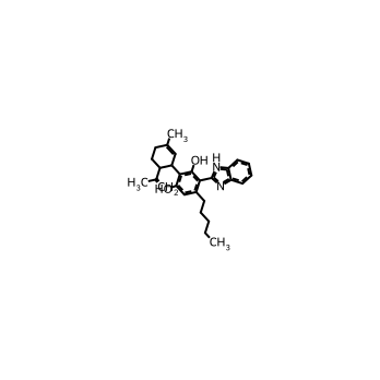 C=C(C)C1CCC(C)=CC1c1c(O)cc(CCCCC)c(-c2nc3ccccc3[nH]2)c1O